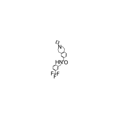 O=C(NCc1cccc(C(F)(F)F)c1)c1ccc2c(c1)CCN(C1=CC=C1)CC2